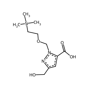 C[Si](C)(C)CCOCn1nc(CO)cc1C(=O)O